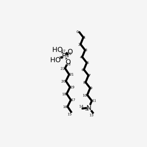 CCCCCCCCCCCCN(C)C.CCCCCCCCOP(=O)(O)O